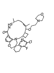 C/C1=C\CCC(C)SNC(=O)c2ccc3c(c2)N(C[C@@H]2CCC2C1OCCN1CCOCC1)CC1(CCCc2c1ccc(Cl)c2F)CO3